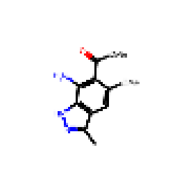 COC(=O)c1c(OC)cc2c(C)n[nH]c2c1N